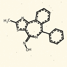 Cc1nc2c(s1)c(=NO)nc(-c1ccccc1)c1ccccc12